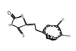 O=C1NC(=S)C(=CCc2ccc(Cl)c(Cl)c2)S1